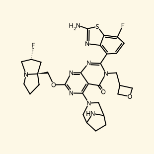 Nc1nc2c(-c3nc4nc(OC[C@@]56CCCN5C[C@H](F)C6)nc(N5CC6CCC(C5)N6)c4c(=O)n3CC3COC3)ccc(F)c2s1